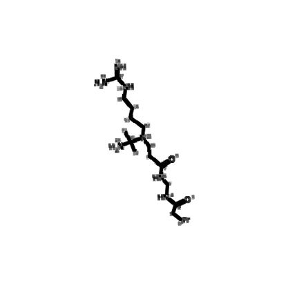 CC(C)CC(=O)NCNC(=O)CCN(CCCCNC(=N)N)C(C)(C)N